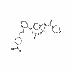 O=C(/C=C/c1ccc(Sc2ccccc2OC[C@H]2CC[C@H](C(=O)O)CC2)c(C(F)(F)F)c1C(F)(F)F)N1CCOCC1